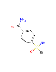 CCS(=N)(=O)c1ccc(C(N)=O)cc1